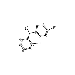 CCC(c1ccc(F)cc1)c1ncccc1F